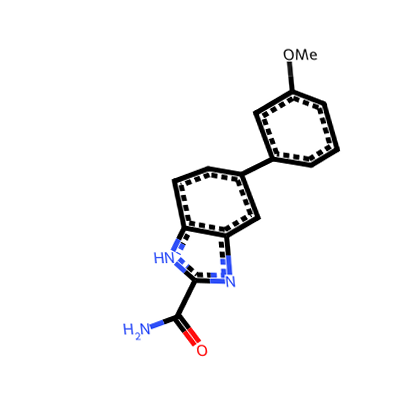 COc1cccc(-c2ccc3[nH]c(C(N)=O)nc3c2)c1